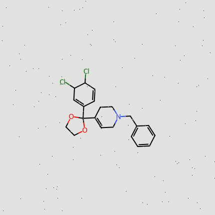 ClC1C=CC(C2(C3=CCN(Cc4ccccc4)CC3)OCCO2)=CC1Cl